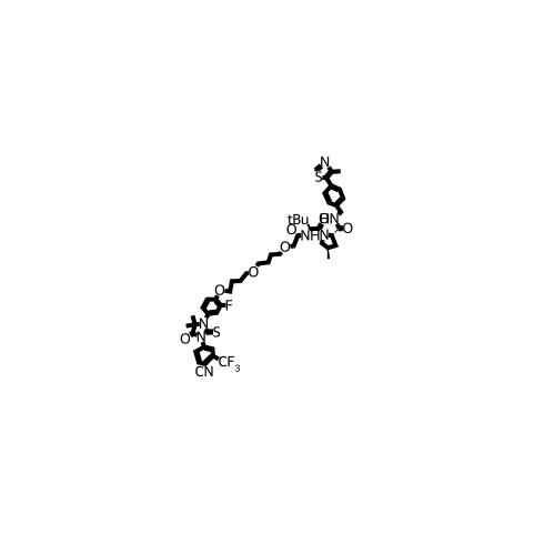 Cc1ncsc1-c1ccc(CNC(=O)[C@@H]2C[C@@H](C)CN2C(=O)[C@@H](NC(=O)COCCCCOCCCCOc2ccc(N3C(=S)N(c4ccc(C#N)c(C(F)(F)F)c4)C(=O)C3(C)C)cc2F)C(C)(C)C)cc1